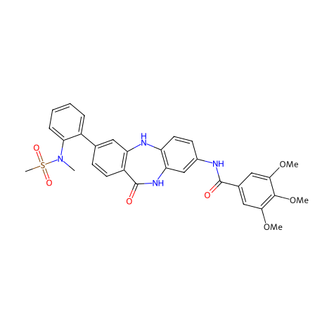 COc1cc(C(=O)Nc2ccc3c(c2)NC(=O)c2ccc(-c4ccccc4N(C)S(C)(=O)=O)cc2N3)cc(OC)c1OC